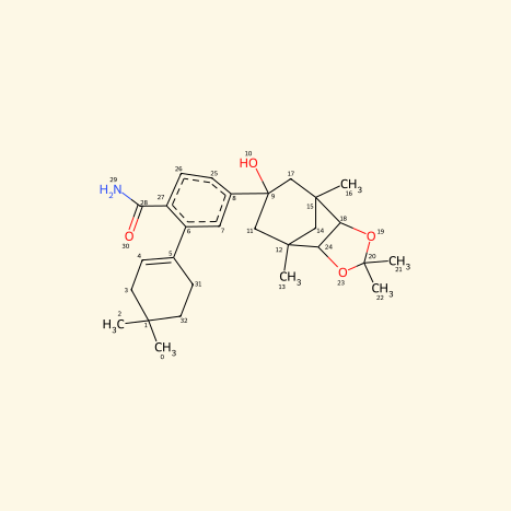 CC1(C)CC=C(c2cc(C3(O)CC4(C)CC(C)(C3)C3OC(C)(C)OC34)ccc2C(N)=O)CC1